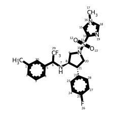 Cc1cccc(C(N[C@H]2CN(S(=O)(=O)c3cn(C)cn3)C[C@@H]2c2ccc(F)cc2)C(F)(F)F)c1